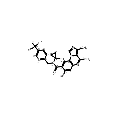 Cc1ncn2c1c(N)nc1cc(F)c(C(=O)N(Cc3ccc(C(F)(F)F)cn3)C3(C)CC3)cc12